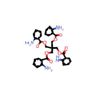 Nc1ccccc1C(=O)OCC(COC(=O)c1ccccc1N)(COC(=O)c1ccccc1N)COC(=O)c1ccccc1N